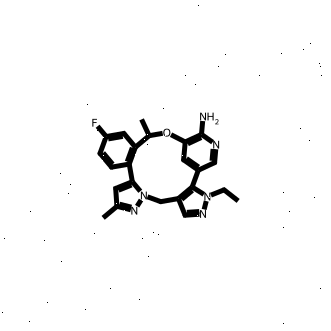 CCn1ncc2c1-c1cnc(N)c(c1)OC(C)c1cc(F)ccc1-c1cc(C)nn1C2